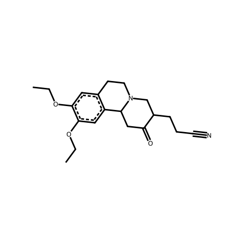 CCOc1cc2c(cc1OCC)C1CC(=O)C(CCC#N)CN1CC2